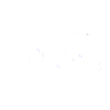 c1ccc(-c2ccc3c4c2B2c5c(cccc5N4c4cccc5c4B3n3c4ccccc4c4cccc-5c43)-c3cccc4c5ccccc5n2c34)cc1